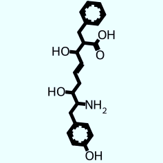 NC(Cc1ccc(O)cc1)C(O)C/C=C/C(O)C(Cc1ccccc1)C(=O)O